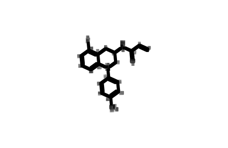 C=CC(=O)NC1Cc2c(F)cccc2N(c2ccc(C(F)(F)F)cc2)C1